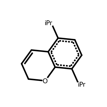 CC(C)c1ccc(C(C)C)c2c1C=CCO2